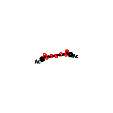 CC(=O)c1ccc(C(=O)OCCOCCOCCOCCOC(=O)c2ccc(C(C)=O)cc2)cc1